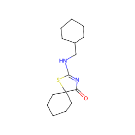 O=C1N=C(NCC2CCCCC2)SC12CCCCC2